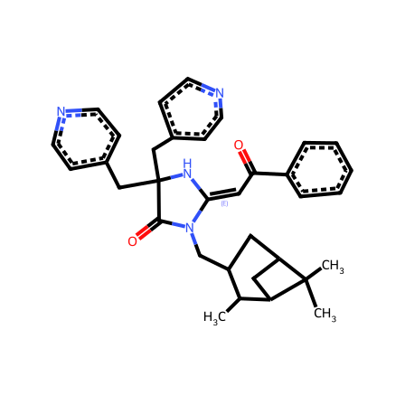 CC1C(CN2C(=O)C(Cc3ccncc3)(Cc3ccncc3)N/C2=C\C(=O)c2ccccc2)CC2CC1C2(C)C